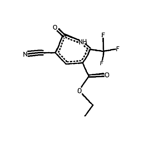 CCOC(=O)c1cc(C#N)c(=O)[nH]c1C(F)(F)F